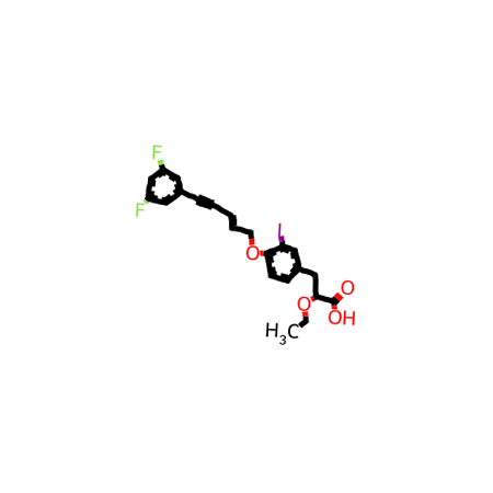 CCOC(Cc1ccc(OCC=CC#Cc2cc(F)cc(F)c2)c(I)c1)C(=O)O